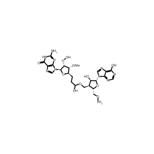 CO[C@H]1[C@@H](OO)[C@H](n2cnc3c(=O)[nH]c(N)nc32)O[C@@H]1CCC(O)OC[C@H]1[C@@H](O)[C@H](n2cnc3c(O)ncnc32)O[C@@H]1COP